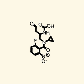 O=CCC(CN(C(=O)c1c(F)cccc1[N+](=O)[O-])C1CC1)NC(=O)O